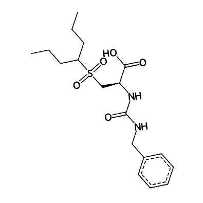 CCCC(CCC)S(=O)(=O)C[C@H](NC(=O)NCc1ccccc1)C(=O)O